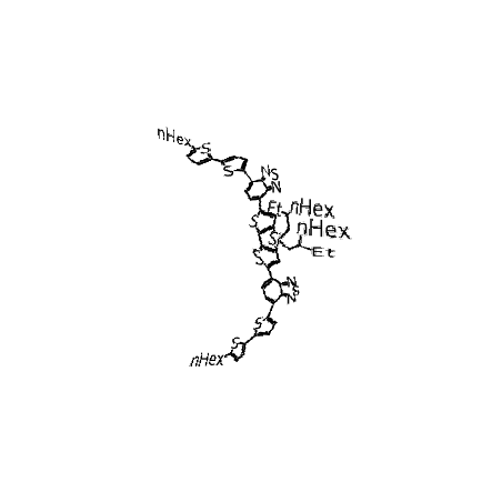 CCCCCCc1ccc(-c2ccc(-c3ccc(-c4cc5c(s4)-c4sc(-c6ccc(-c7ccc(-c8ccc(CCCCCC)s8)s7)c7nsnc67)cc4[Si]5(CC(CC)CCCCCC)CC(CC)CCCCCC)c4nsnc34)s2)s1